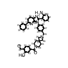 Nc1ncccc1-c1nc2ccc(-c3ccccc3)nc2n1-c1ccc(CN2CC3(CCN(C(=O)c4ccc(C=O)c(O)c4)CC3)C2)cc1